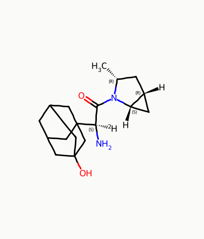 [2H][C@@](N)(C(=O)N1[C@H](C)C[C@@H]2C[C@@H]21)C12CC3CC(CC(O)(C3)C1)C2